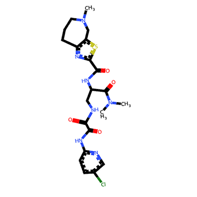 CN1CCCc2nc(C(=O)NC(CNC(=O)C(=O)Nc3ccc(Cl)cn3)C(=O)N(C)C)sc2C1